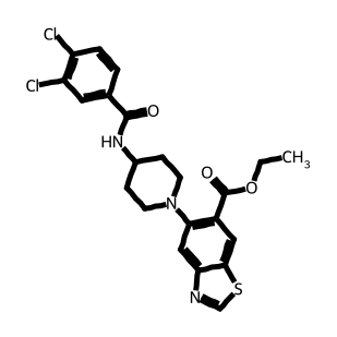 CCOC(=O)c1cc2scnc2cc1N1CCC(NC(=O)c2ccc(Cl)c(Cl)c2)CC1